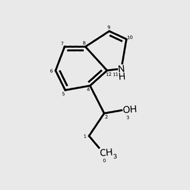 CCC(O)c1cccc2cc[nH]c12